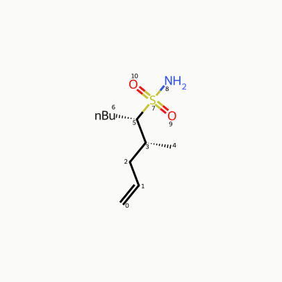 C=CC[C@@H](C)[C@H](CCCC)S(N)(=O)=O